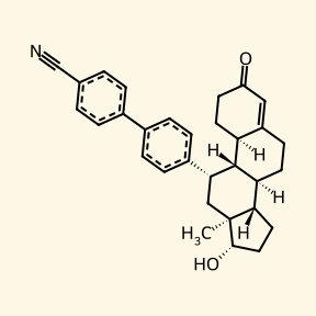 C[C@]12C[C@H](c3ccc(-c4ccc(C#N)cc4)cc3)[C@H]3[C@@H](CCC4=CC(=O)CC[C@@H]43)[C@@H]1CC[C@@H]2O